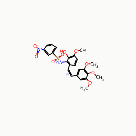 COc1ccc(/C=C\c2cc(OC)c(OC)c(OC)c2)c(NS(=O)(=O)c2cccc([N+](=O)[O-])c2)c1O